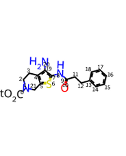 CCOC(=O)N1CCc2c(sc(NC(=O)CCc3ccccc3)c2N)C1